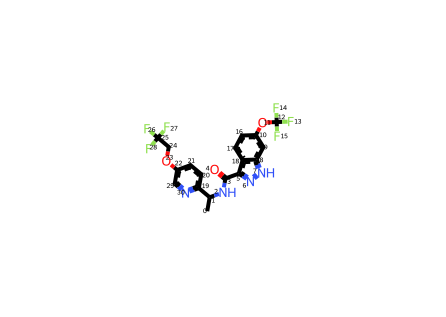 CC(NC(=O)c1n[nH]c2cc(OC(F)(F)F)ccc12)c1ccc(OCC(F)(F)F)cn1